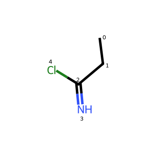 CCC(=N)Cl